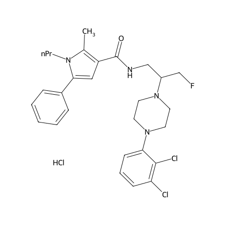 CCCn1c(-c2ccccc2)cc(C(=O)NCC(CF)N2CCN(c3cccc(Cl)c3Cl)CC2)c1C.Cl